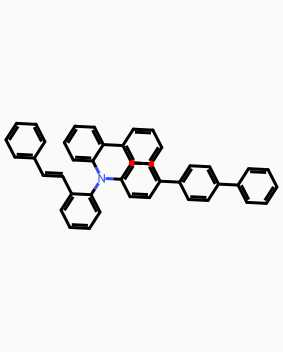 C(=C\c1ccccc1N(c1ccc(-c2ccc(-c3ccccc3)cc2)cc1)c1ccccc1-c1ccccc1)/c1ccccc1